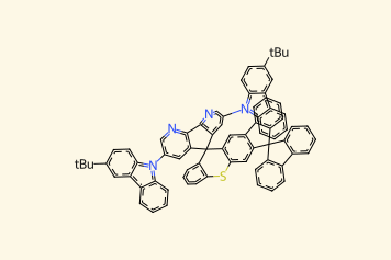 CC(C)(C)c1ccc2c(c1)c1ccccc1n2-c1cnc2c(c1)C1(c3ccccc3Sc3cc4c(cc31)-c1ccccc1C41c3ccccc3-c3ccccc31)c1cc(-n3c4ccccc4c4cc(C(C)(C)C)ccc43)cnc1-2